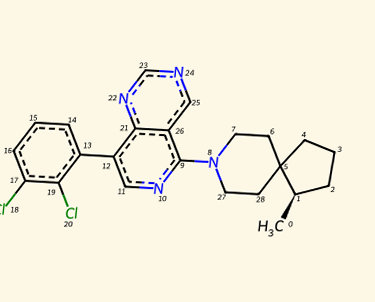 C[C@@H]1CCCC12CCN(c1ncc(-c3cccc(Cl)c3Cl)c3ncncc13)CC2